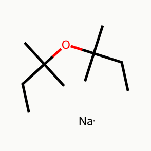 CCC(C)(C)OC(C)(C)CC.[Na]